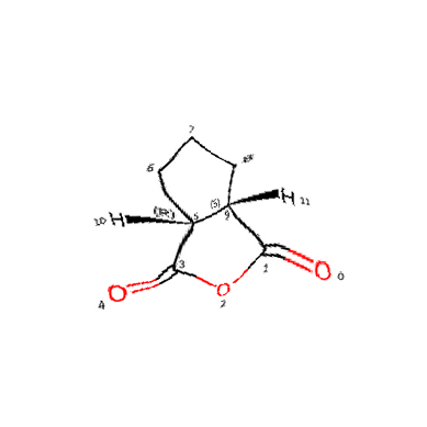 O=C1OC(=O)[C@@H]2CCC[C@H]12